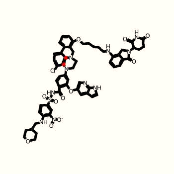 O=C1CCC(N2Cc3c(NCCCCCOc4cccc(-c5ccc(Cl)cc5)c4CN4CCN(c5ccc(C(=O)NS(=O)(=O)c6ccc(NCC7CCOCC7)c([N+](=O)[O-])c6)c(Oc6cnc7[nH]ccc7c6)c5)CC4)cccc3C2=O)C(=O)N1